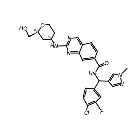 Cn1cc(C(NC(=O)c2ccc3cnc(N[C@@H]4CCO[C@H](CO)C4)nc3c2)c2ccc(Cl)c(F)c2)cn1